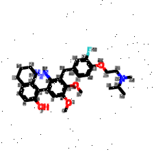 COc1cc(-c2c(O)ccc3c2CCCC3)c(N)c(Cc2ccc(OCCN(C)C(C)C)c(F)c2)c1OC